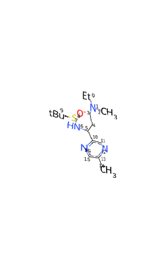 CCN(C)CCC(N[S@+]([O-])C(C)(C)C)c1cnc(C)cn1